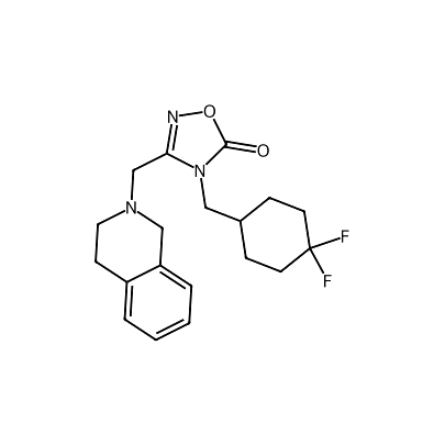 O=c1onc(CN2CCc3ccccc3C2)n1CC1CCC(F)(F)CC1